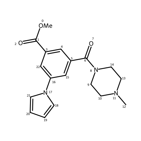 COC(=O)c1cc(C(=O)N2CCN(C)CC2)cc(-n2cccc2)c1